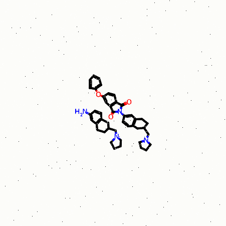 Nc1ccc2c(c1)CCC(CN1CCCC1)C2.O=C1c2ccc(Oc3ccccc3)cc2C(=O)N1c1ccc2c(c1)CCC(CN1CCCC1)C2